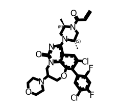 C=CC(=O)N1C[C@H](C)N(c2nc(=O)n3c4c(c(-c5cc(Cl)c(F)cc5F)c(Cl)cc24)OCC(N2CCOCC2)C3)C[C@H]1C